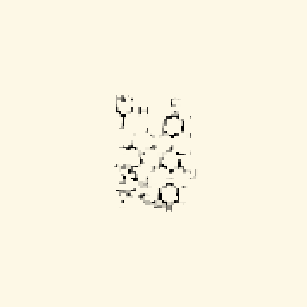 O=C1[C@H](Cc2cnn[nH]2)O[C@H](c2cccc(Cl)c2)[C@@H](c2ccc(Cl)cc2)N1[C@H](CN(c1ccccc1F)S(=O)(=O)C1CC1)C1CC1